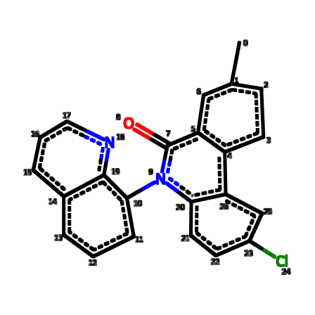 Cc1ccc2c(c1)c(=O)n(-c1cccc3cccnc13)c1ccc(Cl)cc21